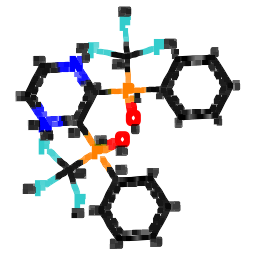 O=P(c1ccccc1)(c1nccnc1P(=O)(c1ccccc1)C(F)(F)F)C(F)(F)F